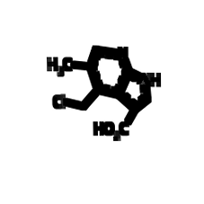 Cc1cnc2[nH]cc(C(=O)O)c2c1CCl